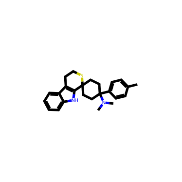 Cc1ccc(C2(N(C)C)CCC3(CC2)SCCc2c3[nH]c3ccccc23)cc1